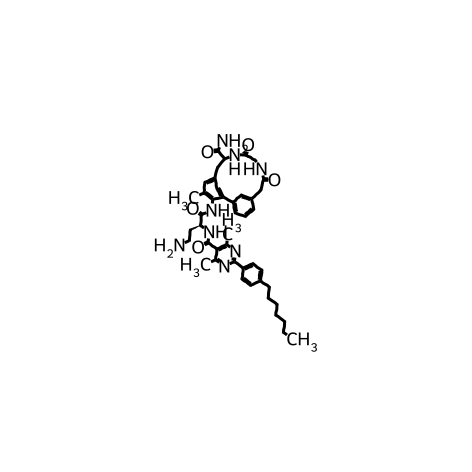 CCCCCCCc1ccc(-c2nc(C)c(C(=O)N[C@@H](CCN)C(=O)Nc3c(C)cc4cc3-c3cccc(c3)CC(=O)NCC(=O)NC(C(N)=O)C4)c(C)n2)cc1